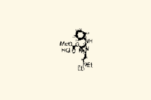 CCN(CC)CCn1nc(Nc2ccccc2)c(OC(=O)OC)n1.Cl